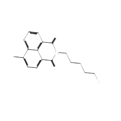 CC(=O)CCCCCN1C(=O)c2cccc3c(Cl)ccc(c23)C1=O